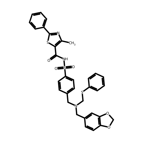 Cc1nc(-c2ccccc2)sc1C(=O)NS(=O)(=O)c1ccc(CN(CSc2ccccc2)Cc2ccc3c(c2)OCO3)cc1